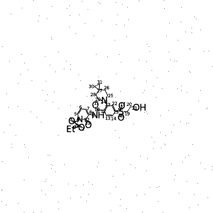 CCS(=O)(=O)n1cccc(NC(=O)c2ccc(S(=O)(=O)CCO)cc2N2CCC3(CC2)CC3)c1=O